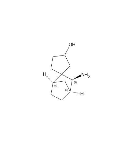 N[C@H]1[C@H]2CC[C@H](C2)C12CCC(O)C2